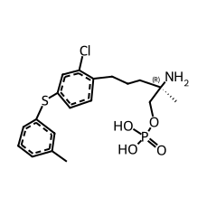 Cc1cccc(Sc2ccc(CCC[C@@](C)(N)COP(=O)(O)O)c(Cl)c2)c1